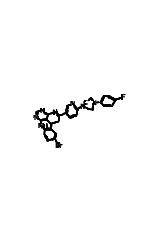 Nc1ncnc2nc(-c3ccc(N4CCN(c5ccc(F)cc5)CC4)nc3)cc(-c3cccc(Br)c3)c12